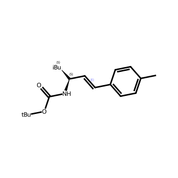 CC[C@H](C)[C@@H](/C=C/c1ccc(C)cc1)NC(=O)OC(C)(C)C